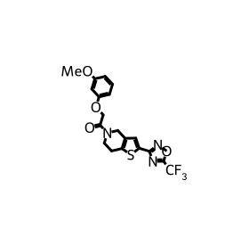 COc1cccc(OCC(=O)N2CCc3sc(-c4noc(C(F)(F)F)n4)cc3C2)c1